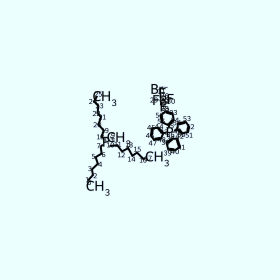 CCCCCCCC[P+](C)(CCCCCCCC)CCCCCCCC.F[B-](F)(F)F.[Br-].c1ccc([P+](c2ccccc2)(c2ccccc2)c2ccccc2)cc1